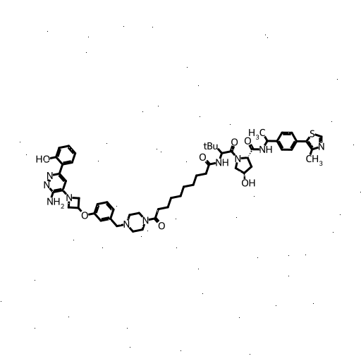 Cc1ncsc1-c1ccc(C(C)NC(=O)[C@@H]2C[C@@H](O)CN2C(=O)C(NC(=O)CCCCCCCCC(=O)N2CCN(Cc3cccc(OC4CN(c5cc(-c6ccccc6O)nnc5N)C4)c3)CC2)C(C)(C)C)cc1